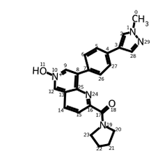 Cn1cc(-c2ccc(-c3c[n+](O)cc4ccc(C(=O)N5CCCC5)nc34)cc2)cn1